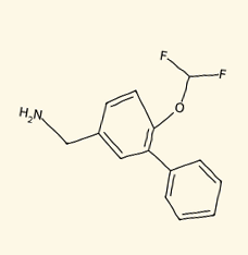 NCc1ccc(OC(F)F)c(-c2ccccc2)c1